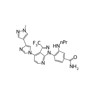 CCCNc1cc(C(N)=O)ccc1-n1nc(C(F)(F)F)c2c(-n3cnc(-c4cnn(C)c4)c3)ccnc21